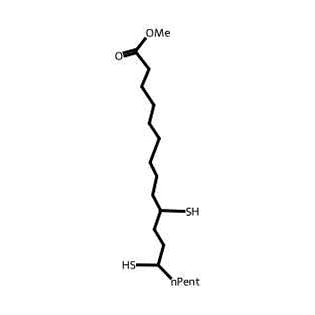 CCCCCC(S)CCC(S)CCCCCCCCC(=O)OC